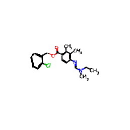 CCN(C)/C=N/c1ccc(C(=O)OCc2ccccc2Cl)c(C)c1C